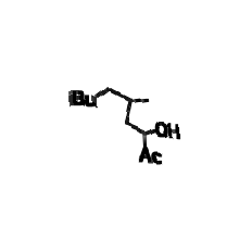 CCC(C)CC(C)CC(O)C(C)=O